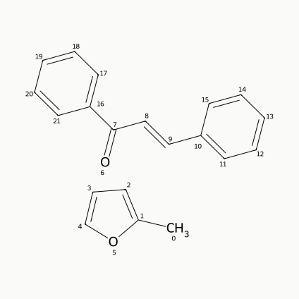 Cc1ccco1.O=C(C=Cc1ccccc1)c1ccccc1